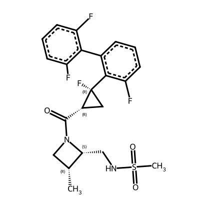 C[C@@H]1CN(C(=O)[C@H]2C[C@]2(F)c2c(F)cccc2-c2c(F)cccc2F)[C@@H]1CNS(C)(=O)=O